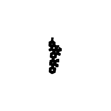 CN(c1ccc(F)cc1C(F)(F)F)c1cc(=O)n(C)c2c1CCN(c1cnn(C3CCCCO3)c(=O)c1Cl)C2